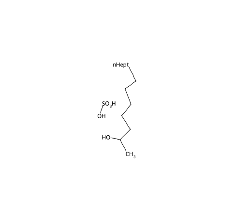 CCCCCCCCCCCCC(C)O.O=S(=O)(O)O